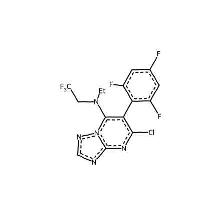 CCN(CC(F)(F)F)c1c(-c2c(F)cc(F)cc2F)c(Cl)nc2ncnn12